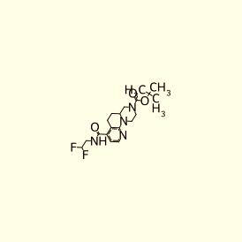 CC(C)(C)OC(=O)N1CCN2c3nccc(C(=O)NCC(F)F)c3CCC2C1